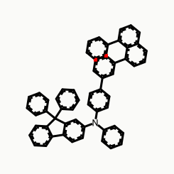 c1ccc(-c2cccc3cccc(-c4cccc(-c5ccc(N(c6ccccc6)c6ccc7c(c6)C(c6ccccc6)(c6ccccc6)c6ccccc6-7)cc5)c4)c23)cc1